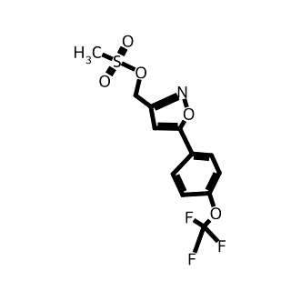 CS(=O)(=O)OCc1cc(-c2ccc(OC(F)(F)F)cc2)on1